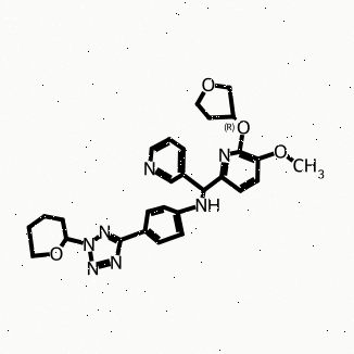 COc1ccc(C(Nc2ccc(-c3nnn(C4CCCCO4)n3)cc2)c2cccnc2)nc1O[C@@H]1CCOC1